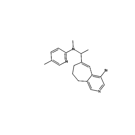 Cc1ccc(N(C)C(C)C2=Cc3c(Br)cncc3CCC2)nc1